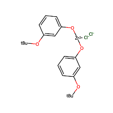 CC(C)(C)Oc1cccc([O][Zr+2][O]c2cccc(OC(C)(C)C)c2)c1.[Cl-].[Cl-]